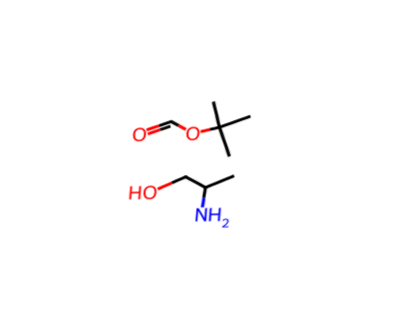 CC(C)(C)OC=O.CC(N)CO